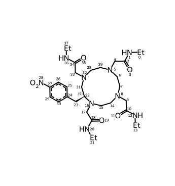 CCNC(=O)CN1CCN(CC(=O)NCC)CCN(CC(=O)NCC)[C@@H](Cc2ccc([N+](=O)[O-])cc2)CN(CC(=O)NCC)CC1